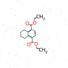 C=COC(=O)c1ccc(C(=O)OC=C)c2c1CCCC2